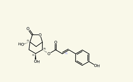 O=C(/C=C/c1ccc(O)cc1)O[C@H]1C2C[C@@](O)(C[C@@H]1O)C(=O)O2